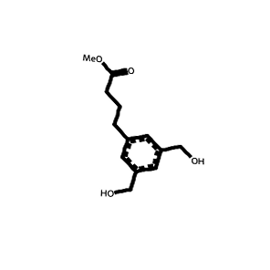 COC(=O)CCCc1cc(CO)cc(CO)c1